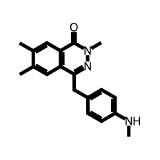 CNc1ccc(Cc2nn(C)c(=O)c3cc(C)c(C)cc23)cc1